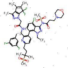 C[C@@H]1c2c(C(F)(F)F)nn(CC(=O)N[C@@H](Cc3cc(F)cc(F)c3)c3nc(CCC(C)(C)S(C)(=O)=O)ccc3-c3ccc(Cl)c4c(N(C(=O)CCN5CCOCC5)S(C)(=O)=O)nn(CC(F)(F)F)c34)c2C(F)(F)[C@@H]1C